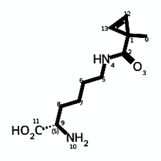 CC1(C(=O)NCCCC[C@H](N)C(=O)O)C=C1